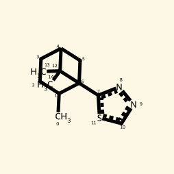 CC1CCC2CC1(c1nncs1)C2(C)C